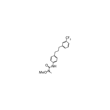 CON(C)C(=O)Nc1ccc(CCCc2cccc(C(F)(F)F)c2)cc1